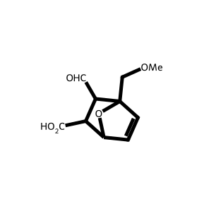 COCC12C=CC(O1)C(C(=O)O)C2C=O